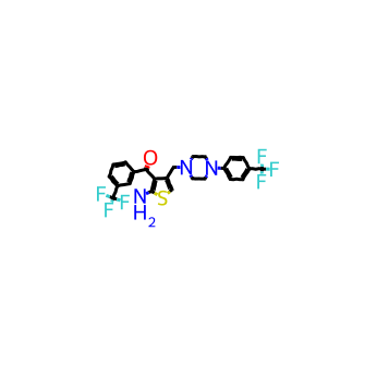 Nc1scc(CN2CCN(c3ccc(C(F)(F)F)cc3)CC2)c1C(=O)c1cccc(C(F)(F)F)c1